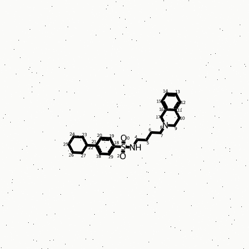 O=S(=O)(NCCCCN1CCc2ccccc2C1)c1ccc(C2CCCCC2)cc1